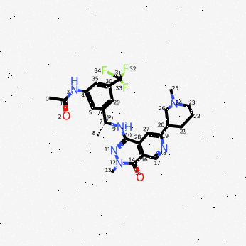 CC(=O)Nc1cc([C@@H](C)Nc2nn(C)c(=O)c3cnc(C4CCCN(C)C4)cc23)cc(C(F)(F)F)c1